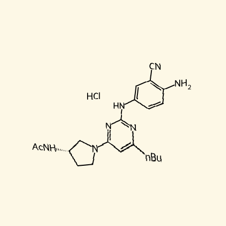 CCCCc1cc(N2CC[C@H](NC(C)=O)C2)nc(Nc2ccc(N)c(C#N)c2)n1.Cl